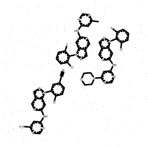 Cc1cc(Nc2cc3c(cn2)cnn3-c2c(F)cccc2Cl)ncn1.Fc1cccc(Cl)c1-n1ncc2cnc(Nc3cc(N4CCOCC4)ncn3)cc21.N#Cc1ccc(Cl)c(-n2ncc3cnc(Nc4cc(N)ncn4)cc32)c1